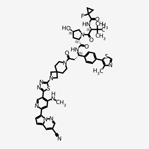 CNc1cc(-c2ccc3cc(C#N)cnn23)ncc1-c1nnc(N2CC3(CCN(C(=O)C[C@H](NC(=O)[C@@H]4C[C@@H](O)CN4C(=O)[C@@H](NC(=O)C4(F)CC4)C(C)(C)C)c4ccc(-c5scnc5C)cc4)CC3)C2)s1